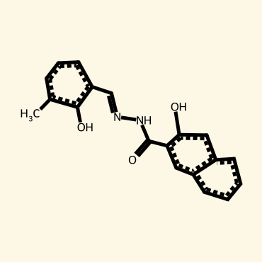 Cc1cccc(/C=N/NC(=O)c2cc3ccccc3cc2O)c1O